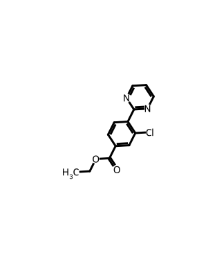 CCOC(=O)c1ccc(-c2ncccn2)c(Cl)c1